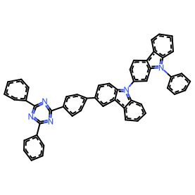 c1ccc(-c2nc(-c3ccccc3)nc(-c3ccc(-c4ccc5c(c4)c4ccccc4n5-c4ccc5c6ccccc6n(-c6ccccc6)c5c4)cc3)n2)cc1